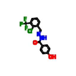 O=C(NN=Cc1cccc(C(F)(F)F)c1Cl)c1ccc(O)cc1